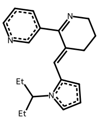 CCC(CC)n1cccc1/C=C1\CCCN=C1c1cccnc1